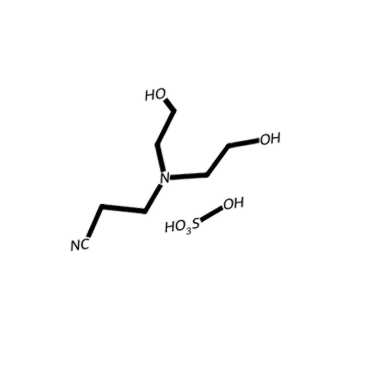 N#CCCN(CCO)CCO.O=S(=O)(O)O